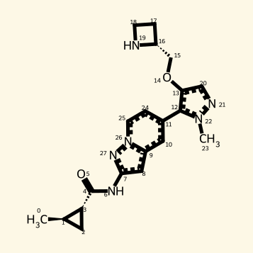 C[C@@H]1C[C@H]1C(=O)Nc1cc2cc(-c3c(OC[C@H]4CCN4)cnn3C)ccn2n1